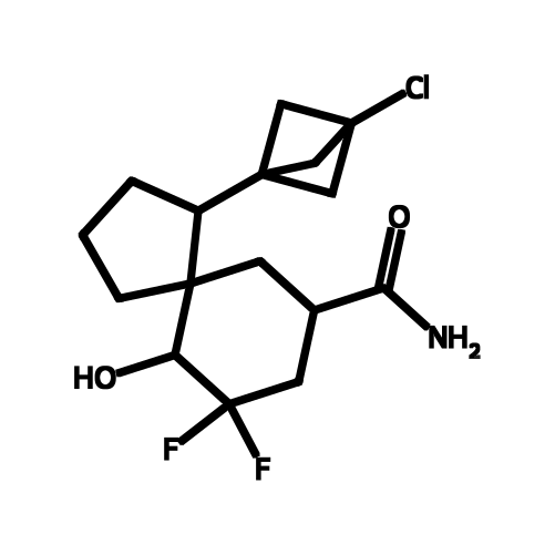 NC(=O)C1CC(F)(F)C(O)C2(CCCC2C23CC(Cl)(C2)C3)C1